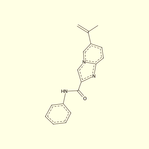 C=C(C)c1ccc2nc(C(=O)Nc3ccccc3)cn2c1